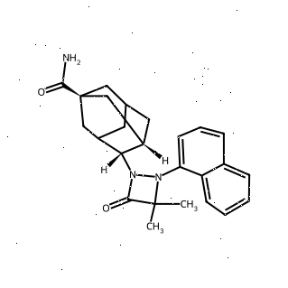 CC1(C)C(=O)N([C@@H]2C3CC4C[C@H]2C[C@@](C(N)=O)(C4)C3)N1c1cccc2ccccc12